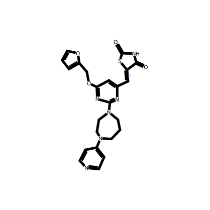 O=C1NC(=O)/C(=C/c2cc(OCc3ccco3)nc(N3CCCN(c4ccncc4)CC3)n2)S1